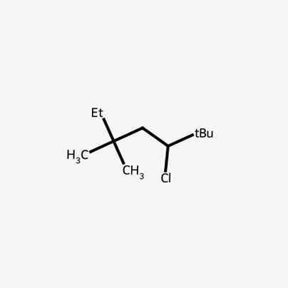 CCC(C)(C)CC(Cl)C(C)(C)C